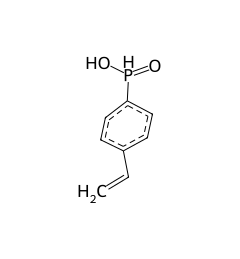 C=Cc1ccc([PH](=O)O)cc1